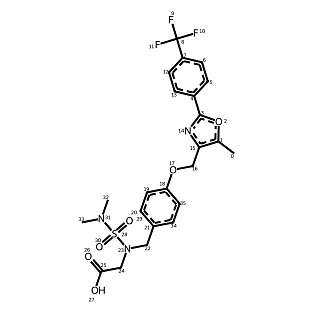 Cc1oc(-c2ccc(C(F)(F)F)cc2)nc1COc1ccc(CN(CC(=O)O)S(=O)(=O)N(C)C)cc1